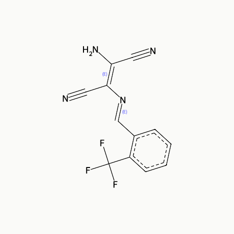 N#C/C(N)=C(C#N)\N=C\c1ccccc1C(F)(F)F